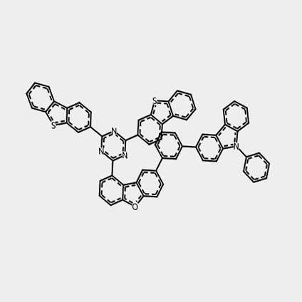 c1ccc(-n2c3ccccc3c3cc(-c4cccc(-c5ccc6oc7cccc(-c8nc(-c9ccc%10c(c9)sc9ccccc9%10)nc(-c9ccc%10c(c9)sc9ccccc9%10)n8)c7c6c5)c4)ccc32)cc1